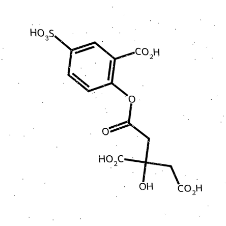 O=C(O)CC(O)(CC(=O)Oc1ccc(S(=O)(=O)O)cc1C(=O)O)C(=O)O